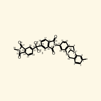 Cc1ccc2c(c1)N1Cc3ccc(N4C(=O)c5ccc(C(c6ccc7c(c6)C(=O)N(C)C7=O)(C(F)(F)F)C(F)(F)F)cc5C4=O)cc3N(C2)C1